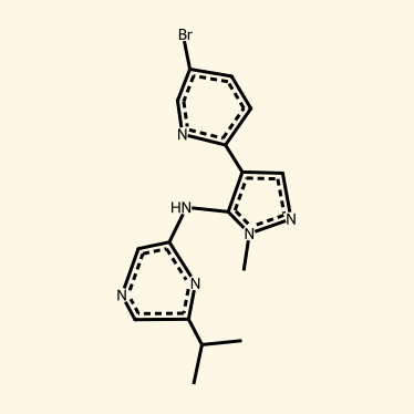 CC(C)c1cncc(Nc2c(-c3ccc(Br)cn3)cnn2C)n1